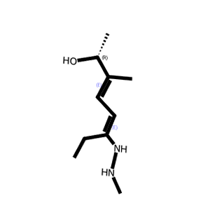 CC/C(=C\C=C(/C)[C@@H](C)O)NNC